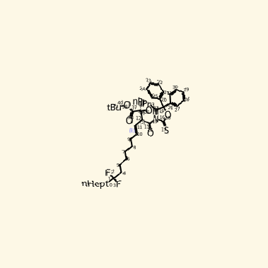 CCCCCCCC(F)(F)CCCCCC/C=C/[C@H](C(=O)N1C(=S)OC(c2ccccc2)(c2ccccc2)C1C(C)C)[C@@](O)(CCC)C(=O)OC(C)(C)C